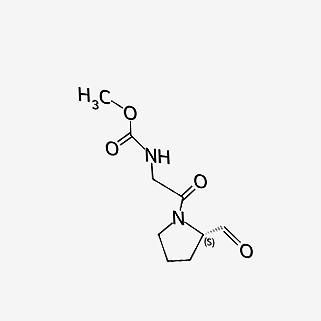 COC(=O)NCC(=O)N1CCC[C@H]1C=O